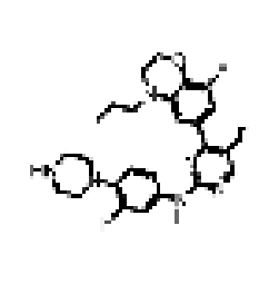 CCCN1CCOc2c(F)cc(-c3nc(Nc4ccc(N5CCNCC5)c(F)c4)ncc3F)cc21